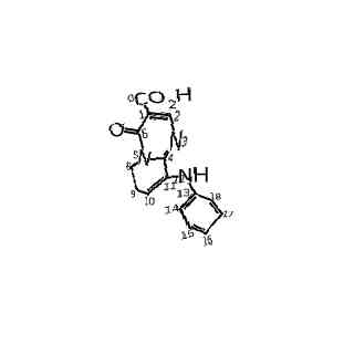 O=C(O)c1cnc2n(c1=O)CCC=C2Nc1ccccc1